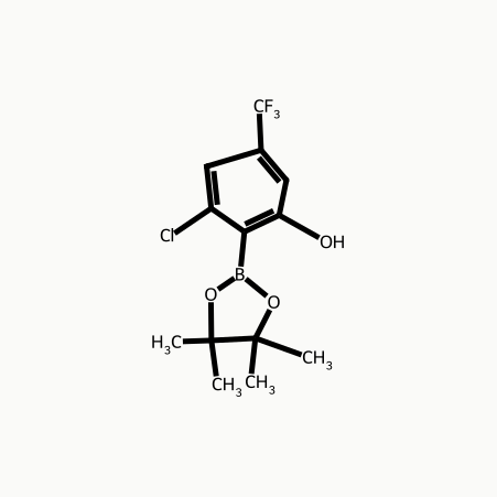 CC1(C)OB(c2c(O)cc(C(F)(F)F)cc2Cl)OC1(C)C